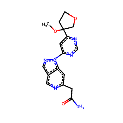 COC1(c2cc(-n3ncc4cnc(CC(N)=O)cc43)ncn2)CCOC1